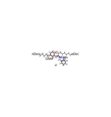 CCCCCCCCCCCCCCCCC(Oc1ccc(OCCCCCCCCCCCCCC)c(OC)c1)C(=O)NCc1cccc[n+]1CCC.[I-]